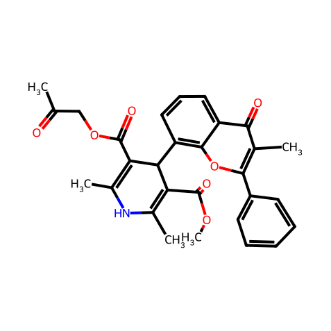 COC(=O)C1=C(C)NC(C)=C(C(=O)OCC(C)=O)C1c1cccc2c(=O)c(C)c(-c3ccccc3)oc12